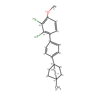 CC(C)Oc1ccc(-c2ccc(C34CCC(C)(CC3)CC4)cc2)c(F)c1F